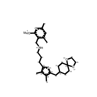 COc1nc(C)cc(C)c1CNCCCc1sc(CC2CCC3(CC2)OCCO3)c(C)c1C